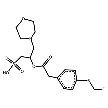 O=C(Cc1ccc(SCF)cc1)OC(CN1CCOCC1)CS(=O)(=O)O